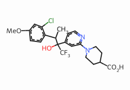 COc1ccc(C(C)C(O)(c2ccnc(N3CCC(C(=O)O)CC3)c2)C(F)(F)F)c(Cl)c1